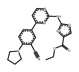 CCOC(=O)c1coc(Nc2nccc(-c3ccc(N4CCCC4)c(C#N)c3)n2)n1